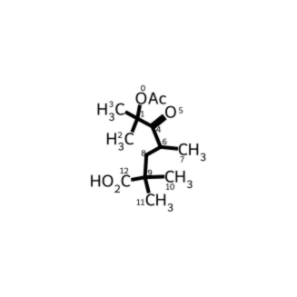 CC(=O)OC(C)(C)C(=O)C(C)CC(C)(C)C(=O)O